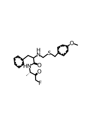 COc1ccc(CSCNC(Cc2ccccc2)C(=O)N[C@@H](C)C(=O)CF)cc1